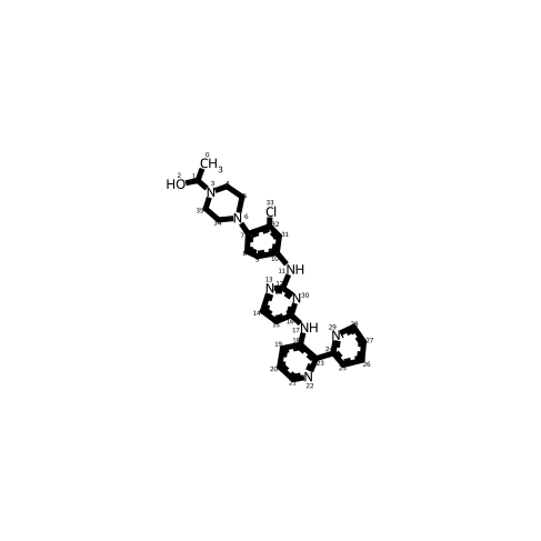 CC(O)N1CCN(c2ccc(Nc3nccc(Nc4cccnc4-c4ccccn4)n3)cc2Cl)CC1